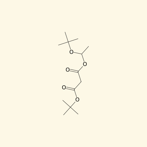 CC(OC(=O)CC(=O)OC(C)(C)C)OC(C)(C)C